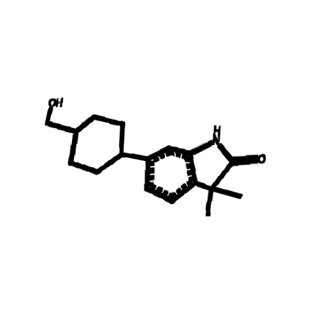 CC1(C)C(=O)Nc2cc(C3CCC(CO)CC3)ccc21